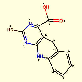 Nc1nc(S)nc(C(=O)O)c1Cc1ccccc1